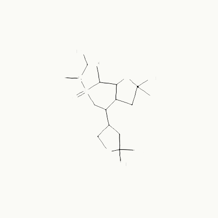 CC1(C)CC(C2CP(=O)(N(O)CS)C(O)C3OC(C)(C)CC23)CO1